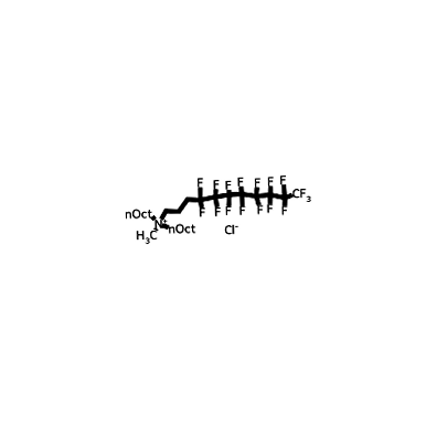 CCCCCCCC[N+](C)(CCCCCCCC)CCCC(F)(F)C(F)(F)C(F)(F)C(F)(F)C(F)(F)C(F)(F)C(F)(F)C(F)(F)F.[Cl-]